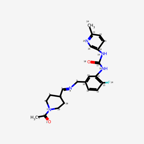 CC(=O)N1CCC(C=NCc2ccc(F)c(NC(=O)Nc3ccc(C)nc3)c2)CC1